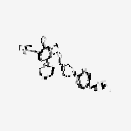 O=C([C@@H]1CCCCN1c1cc(C(F)(F)F)c(=O)[nH]n1)N1CCN(c2ncc(C(F)(F)F)cn2)CC1